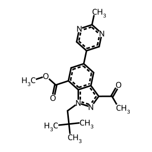 COC(=O)c1cc(-c2cnc(C)nc2)cc2c(C(C)=O)nn(CC(C)(C)C)c12